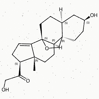 C[C@]12CC[C@@H]3[C@@]45CC[C@H](O)C[C@@H]4CC[C@@]3(OC5)C1=CC[C@@H]2C(=O)CO